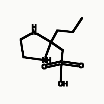 CCCC1(CS(=O)(=O)O)NCCN1